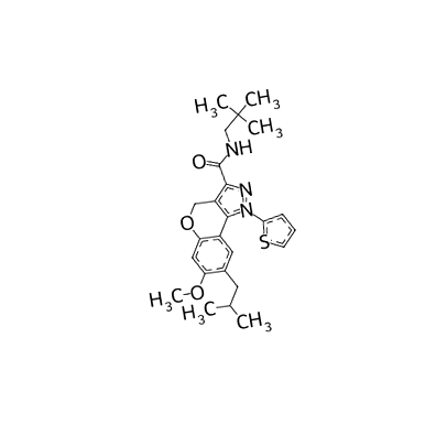 COc1cc2c(cc1CC(C)C)-c1c(c(C(=O)NCC(C)(C)C)nn1-c1cccs1)CO2